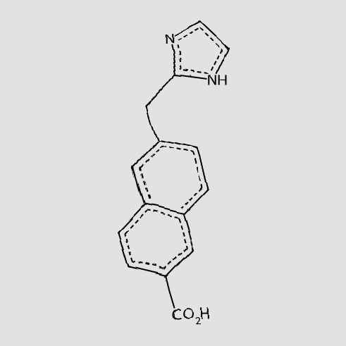 O=C(O)c1ccc2cc(Cc3ncc[nH]3)ccc2c1